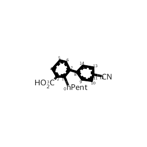 CCCCCc1c(C(=O)O)cccc1-c1ccc(C#N)cc1